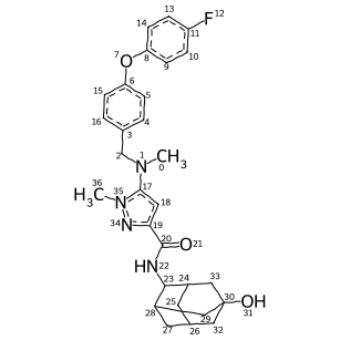 CN(Cc1ccc(Oc2ccc(F)cc2)cc1)c1cc(C(=O)NC2C3CC4CC2CC(O)(C4)C3)nn1C